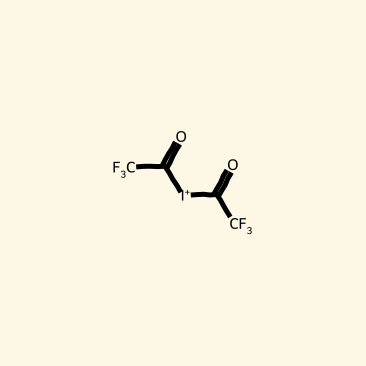 O=C([I+]C(=O)C(F)(F)F)C(F)(F)F